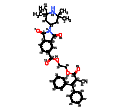 CC1(C)CC(N2C(=O)c3ccc(C(=O)OCCOC(=O)C(C#N)=C(c4ccccc4)c4ccccc4)cc3C2=O)CC(C)(C)N1